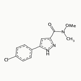 CON(C)C(=O)c1cc(-c2ccc(Cl)cc2)[nH]n1